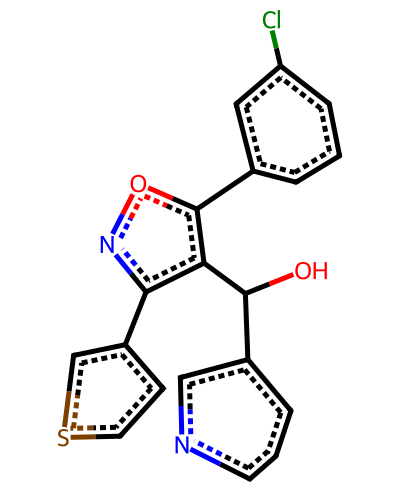 OC(c1cccnc1)c1c(-c2ccsc2)noc1-c1cccc(Cl)c1